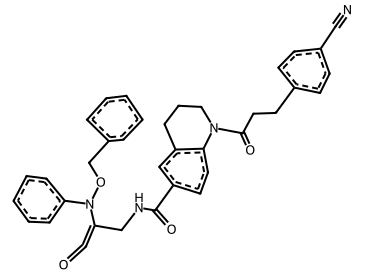 N#Cc1ccc(CCC(=O)N2CCCc3cc(C(=O)NCC(=C=O)N(OCc4ccccc4)c4ccccc4)ccc32)cc1